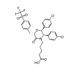 O=C(O)CCCCN1C(=O)[C@H](Cc2ccc(S(=O)(=O)C(F)(F)F)cc2)O[C@@H](c2ccc(Cl)cc2)[C@H]1c1ccc(Cl)cc1